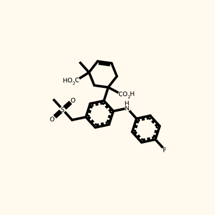 CC1(C(=O)O)C=CCC(C(=O)O)(c2cc(CS(C)(=O)=O)ccc2Nc2ccc(F)cc2)C1